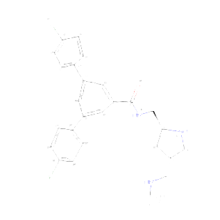 O=C(O)NC[C@H]1CN[C@H](CNC(=O)c2cc(-c3ccc(F)cc3)cc(-c3ccc(F)cc3)c2)C1